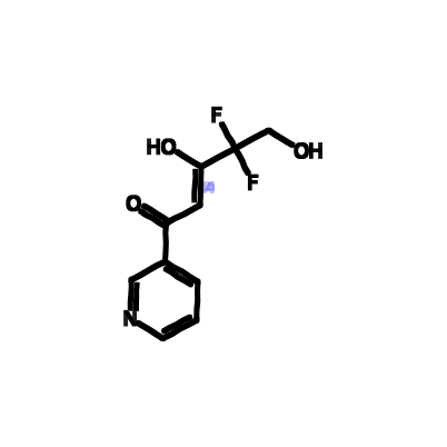 O=C(/C=C(\O)C(F)(F)CO)c1cccnc1